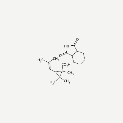 CC(C)=CC1C(C)(C)C1(C)C(=O)O.O=C1NC(=O)C2CCCCC12